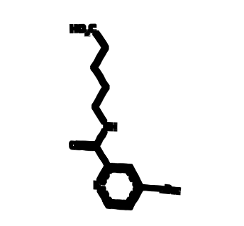 CCCCCCCCCCc1ccnc(C(=O)NCCCCC(=O)O)c1